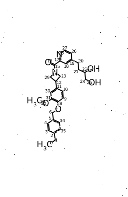 CCc1ccc(COc2ccc(C3CN(C(=O)c4cc(CCC(O)CO)ccn4)C3)cc2OC)cc1